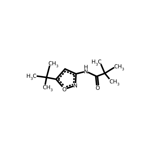 CC(C)(C)C(=O)Nc1cc(C(C)(C)C)on1